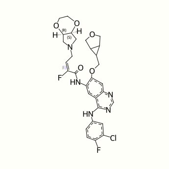 O=C(Nc1cc2c(Nc3ccc(F)c(Cl)c3)ncnc2cc1OCC1C2COCC21)/C(F)=C\CN1C[C@@H]2OCCO[C@@H]2C1